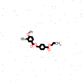 C=CCOC(=O)c1ccc(COC(=O)c2ccc(OC(C)C)c(C(C)(C)C)c2)cc1